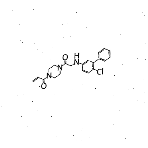 C=CC(=O)N1CCN(C(=O)CNc2ccc(Cl)c(-c3ccccc3)c2)CC1